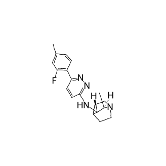 Cc1ccc(-c2ccc(N[C@H]3C4CCN(CC4)[C@@H]3C)nn2)c(F)c1